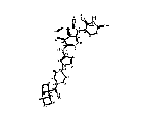 O=C1CCC(N2C(=O)c3cccc4c(Nc5cnn(C6CCN(C(=O)C78C9C%10C%11C9C7C%11C%108)CC6)c5)ncc2c34)C(=O)N1